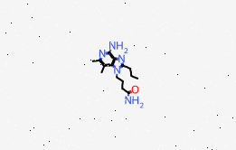 CCCc1nc2c(N)nc(C)c(C)c2n1CCCC(N)=O